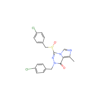 Cc1ncn2c([S+]([O-])Cc3ccc(Cl)cc3)nn(Cc3ccc(Cl)cc3)c(=O)c12